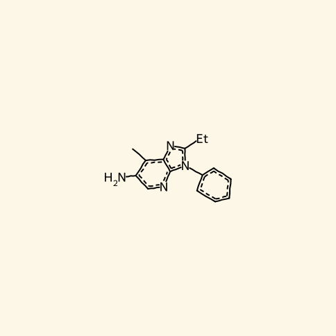 CCc1nc2c(C)c(N)cnc2n1-c1ccccc1